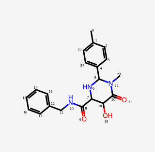 Cc1ccc(C2NC(C(=O)NCc3ccccc3)C(O)C(=O)N2C)cc1